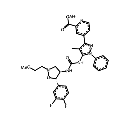 COCCN1C[C@@H](NC(=O)Nc2c(C)c(-c3ccnc(C(=O)OC)c3)nn2-c2ccccc2)[C@H](c2ccc(F)c(F)c2)O1